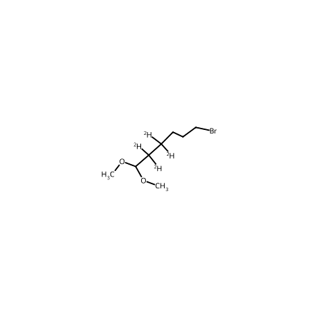 [2H]C([2H])(CCCBr)C([2H])([2H])C(OC)OC